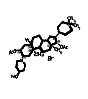 CC(=O)O[C@H]1C[C@@H]2CCC3C4C[C@H](N5CC[N+](C)(C)CC5)[C@H](OC(C)=O)[C@@]4(C)CCC3[C@@]2(C)C[C@@H]1N1CCC(O)CC1.[Br-]